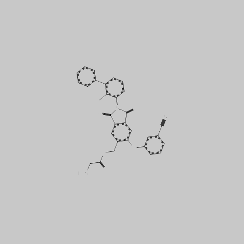 Cc1c(-c2ccccc2)cccc1N1C(=O)c2cc(COC(=O)CN)c(Oc3cccc(C#N)c3)cc2C1=O